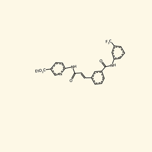 CCOC(=O)c1ccc(NC(=O)/C=C/c2cccc(C(=O)Nc3cccc(C(F)(F)F)c3)c2)nc1